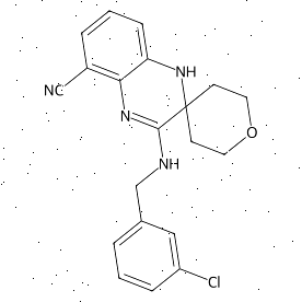 N#Cc1cccc2c1N=C(NCc1cccc(Cl)c1)C1(CCOCC1)N2